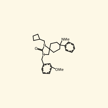 CNC1(c2ccccc2)CCC2(CC1)CN(Cc1cccc(OC)c1)C(=O)N2CC1CCC1